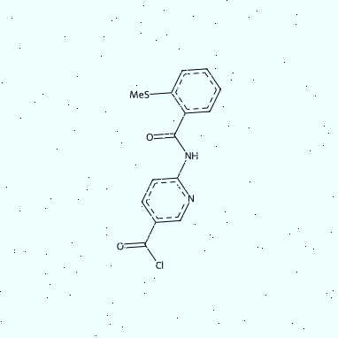 CSc1ccccc1C(=O)Nc1ccc(C(=O)Cl)cn1